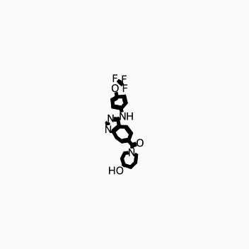 O=C(C1=CCc2ncnc(Nc3ccc(OC(F)(F)F)cc3)c2C=C1)N1CCCC(O)CC1